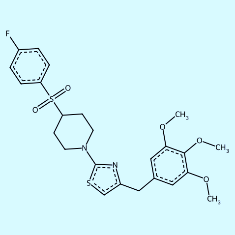 COc1cc(Cc2csc(N3CCC(S(=O)(=O)c4ccc(F)cc4)CC3)n2)cc(OC)c1OC